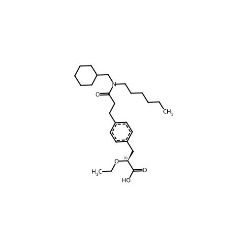 CCCCCCN(CC1CCCCC1)C(=O)CCc1ccc(C[C@H](OCC)C(=O)O)cc1